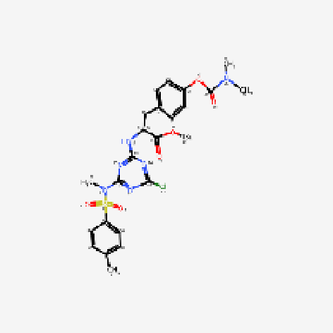 Cc1ccc(S(=O)(=O)N(C)c2nc(Cl)nc(N[C@@H](Cc3ccc(OC(=O)N(C)C)cc3)C(=O)OC(C)(C)C)n2)cc1